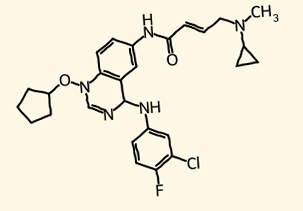 CN(CC=CC(=O)Nc1ccc2c(c1)C(Nc1ccc(F)c(Cl)c1)N=CN2OC1CCCC1)C1CC1